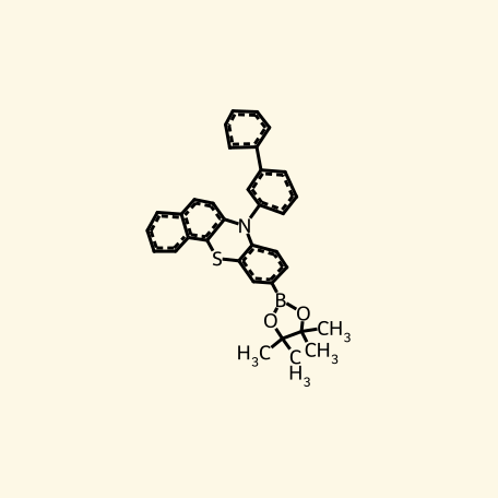 CC1(C)OB(c2ccc3c(c2)Sc2c(ccc4ccccc24)N3c2cccc(-c3ccccc3)c2)OC1(C)C